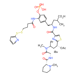 CC[C@H](C)[C@H](NC(=O)[C@H]1CCCCN1C)C(=O)N(C)C(C[C@@H](OC(C)=O)c1nc(C(=O)N[C@@H](Cc2ccc(OP(=O)(O)O)c(NC(=O)CCCSSc3ccccn3)c2)CC(C)C(=O)O)cs1)C(C)C